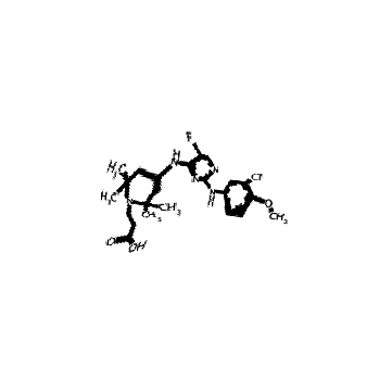 COc1ccc(Nc2ncc(F)c(NC3CC(C)(C)N(CCC(=O)O)C(C)(C)C3)n2)cc1Cl